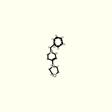 C1=C(N2CCOCC2)CCN(Cc2ccccc2)C1